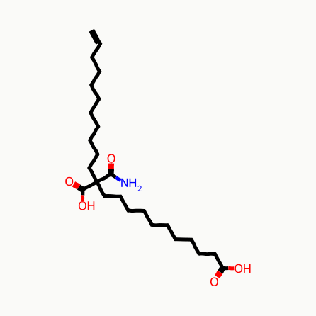 C=CCCCCCCCCCC(CCCCCCCCCCC(=O)O)(C(N)=O)C(=O)O